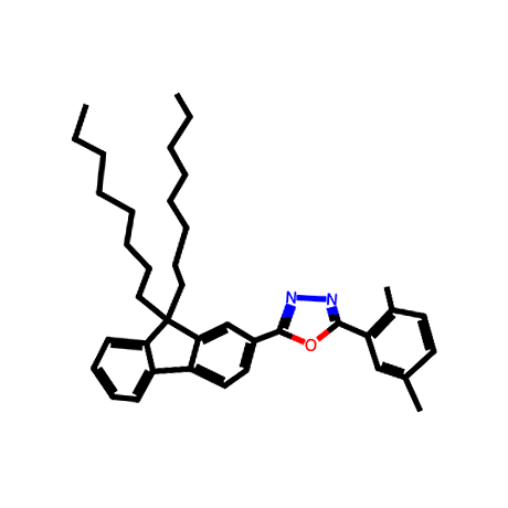 CCCCCCCCC1(CCCCCCCC)c2ccccc2-c2ccc(-c3nnc(-c4cc(C)ccc4C)o3)cc21